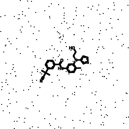 Cc1ccc(NC(=O)c2cccc(C(C)(C)C#N)c2)cc1N(CCO)c1ccsc1